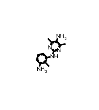 Cc1nc(Nc2cccc(N)c2C)nc(C)c1N